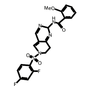 COc1ccccc1C(=O)NC1N=CC2=CN(S(=O)(=O)c3ccc(F)cc3F)CCC2=N1